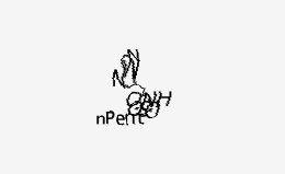 CCCCCS(=O)(=O)NC(=O)Cc1cnc2ccnn2c1